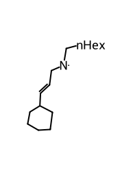 CCCCCCC[N]CC=CC1CCCCC1